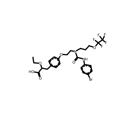 CCOC(Cc1ccc(OCCN(CCCOC(F)(F)C(F)(F)F)C(=O)Nc2ccc(Br)cc2)cc1)C(=O)O